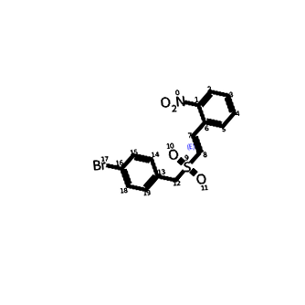 O=[N+]([O-])c1ccccc1/C=C/S(=O)(=O)Cc1ccc(Br)cc1